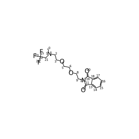 CN(CCOCCOCCN1C(=O)c2ccccc2C1=O)CC(F)(F)F